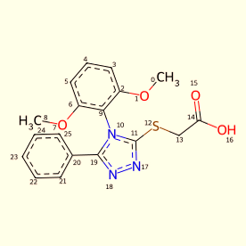 COc1cccc(OC)c1-n1c(SCC(=O)O)nnc1-c1ccccc1